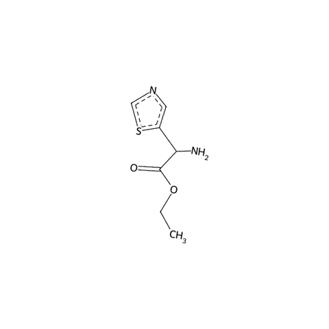 CCOC(=O)C(N)c1cncs1